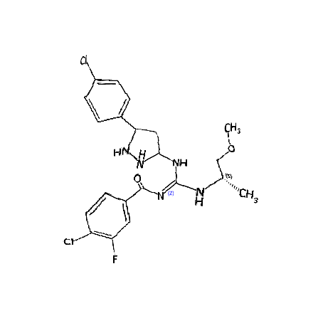 COC[C@H](C)N/C(=N/C(=O)c1ccc(Cl)c(F)c1)NC1CC(c2ccc(Cl)cc2)NN1